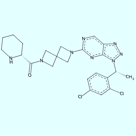 C[C@H](c1ccc(Cl)cc1Cl)n1nnc2cnc(N3CC4(CN(C(=O)[C@H]5CCCCN5)C4)C3)nc21